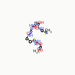 Cc1ncsc1-c1ccc(CNC(=O)[C@@H]2C[C@@H](O)CN2C(=O)[C@@H](NC(=O)CN2CC3(CN(CC(=O)NCc4cccc(-c5cccc(-c6csc(NC(=O)CNC(=O)c7ccn(S(C)(=O)=O)c7)n6)c5)c4)C3)C2)C(C)(C)C)cc1